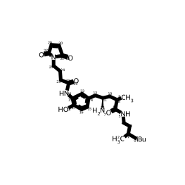 CCC(C)C(C)CCNC(=O)C(C)C[C@@H](N)Cc1ccc(O)c(NC(=O)CCCN2C(=O)C=CC2=O)c1